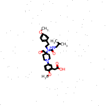 COc1ccc(CCN(C(=O)NCC(C)C)C2(C=O)CCN(c3ccc(OC)c(CC(=O)O)c3)CC2)cc1